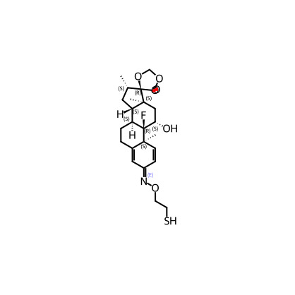 C[C@H]1C[C@H]2[C@@H]3CCC4=C/C(=N/OCCS)C=C[C@]4(C)[C@@]3(F)[C@@H](O)C[C@]2(C)[C@]12OCOC21COCO1